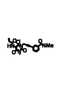 C=CC(=O)Nc1c(Cl)n(CC#Cc2cccc(C(=O)NC)c2)c(=O)n(C)c1=O